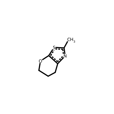 Cc1nc2c(s1)OCCC2